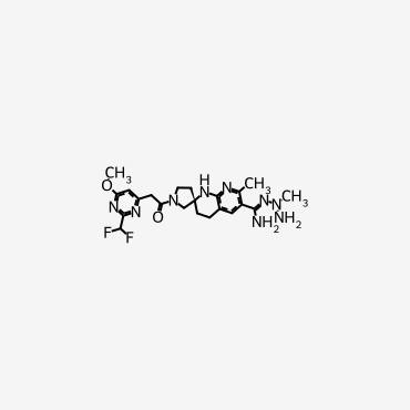 COc1cc(CC(=O)N2CC[C@@]3(CCc4cc(/C(N)=N/N(C)N)c(C)nc4N3)C2)nc(C(F)F)n1